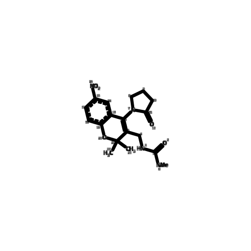 CNC(=O)NCC1=C(N2CCCC2=O)c2cc([N+](=O)[O-])ccc2OC1(C)C